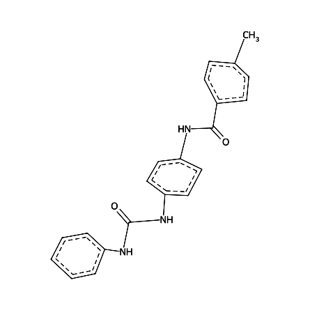 Cc1ccc(C(=O)Nc2ccc(NC(=O)Nc3ccccc3)cc2)cc1